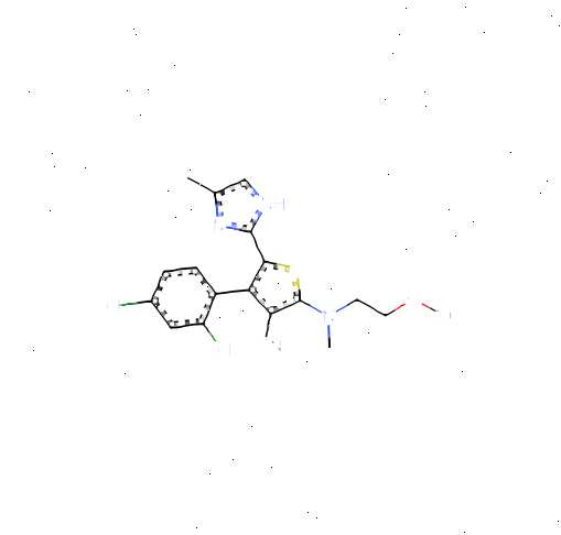 CCOCCN(C)c1sc(-c2nc(C)c[nH]2)c(-c2ccc(Cl)cc2Cl)c1C#N